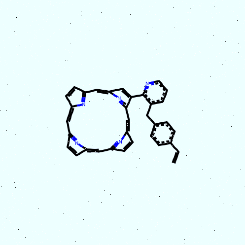 C=Cc1ccc(Cc2cccnc2C2=CC3=CC4=NC(=CC5=NC(=CC6=NC(=CC2=N3)C=C6)C=C5)C=C4)cc1